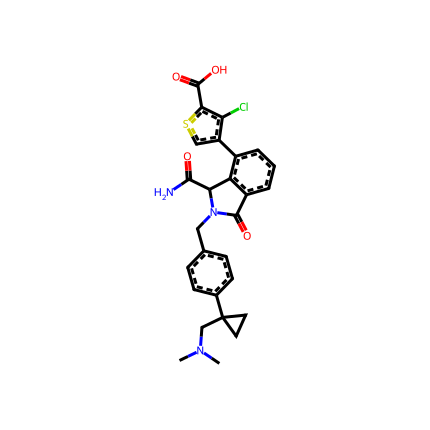 CN(C)CC1(c2ccc(CN3C(=O)c4cccc(-c5csc(C(=O)O)c5Cl)c4C3C(N)=O)cc2)CC1